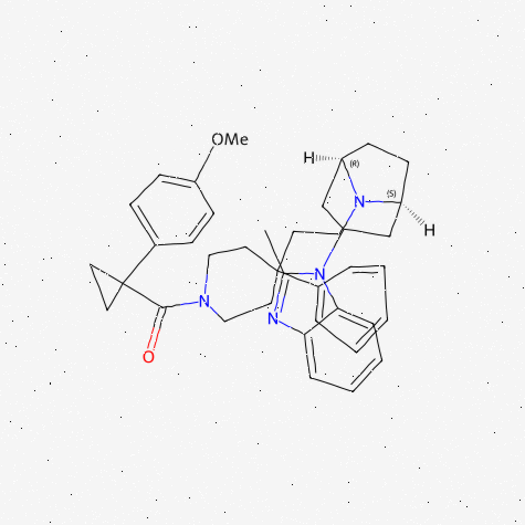 COc1ccc(C2(C(=O)N3CCC(CCN4[C@@H]5CC[C@H]4CC(n4c(C)nc6ccccc64)C5)(c4ccccc4)CC3)CC2)cc1